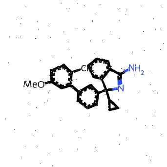 COc1ccc(C#N)c(-c2cccc(C3(C4CC4)N=C(N)c4ccccc43)c2)c1